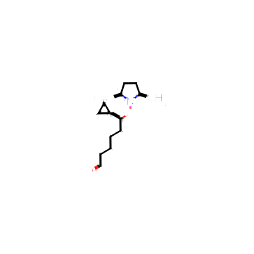 C=C1CCC(=C)N1OC(CCCCC=O)=C1CC1